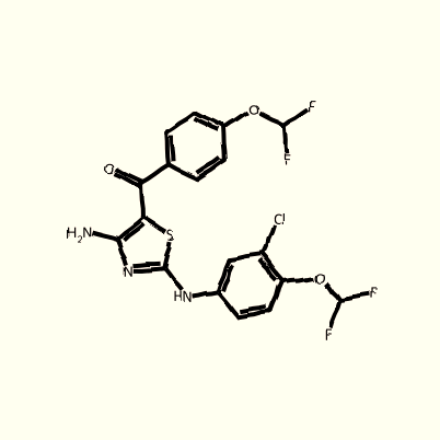 Nc1nc(Nc2ccc(OC(F)F)c(Cl)c2)sc1C(=O)c1ccc(OC(F)F)cc1